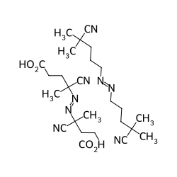 CC(C#N)(CCC(=O)O)N=NC(C)(C#N)CCC(=O)O.CC(C)(C#N)CCCN=NCCCC(C)(C)C#N